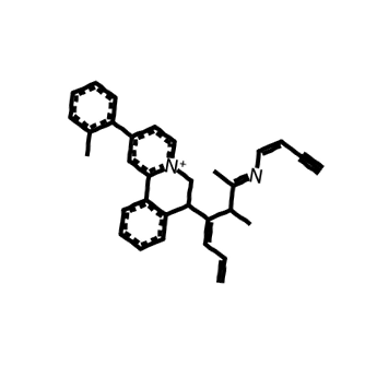 C#C/C=C\N=C(/C)C(C)/C(=C\C=C)C1C[n+]2ccc(-c3ccccc3C)cc2-c2ccccc21